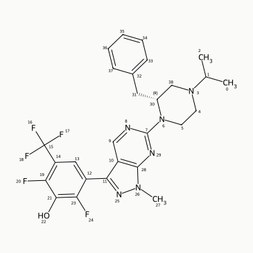 CC(C)N1CCN(c2ncc3c(-c4cc(C(F)(F)F)c(F)c(O)c4F)nn(C)c3n2)[C@H](Cc2ccccc2)C1